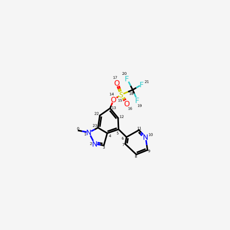 Cn1ncc2c(-c3cccnc3)cc(OS(=O)(=O)C(F)(F)F)cc21